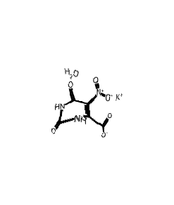 O.O=C([O-])c1[nH]c(=O)[nH]c(=O)c1[N+](=O)[O-].[K+]